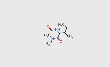 CCC(C)C(N[C]=O)C(=O)N(C)C